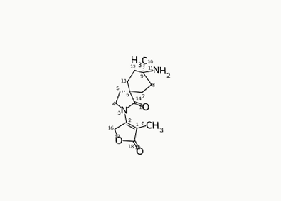 CC1=C(N2CC[C@]3(CC[C@](C)(N)CC3)C2=O)COC1=O